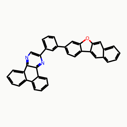 c1cc(-c2ccc3c(c2)oc2cc4ccccc4cc23)cc(-c2cnc3c4ccccc4c4ccccc4c3n2)c1